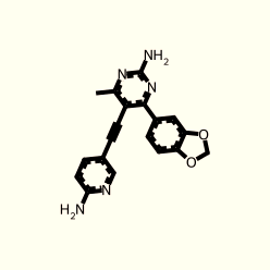 Cc1nc(N)nc(-c2ccc3c(c2)OCO3)c1C#Cc1ccc(N)nc1